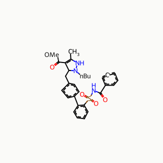 CCCCN1NC(C)=C(C(=O)OC)C1Cc1ccc(-c2ccccc2S(=O)(=O)NC(=O)c2ccccc2)cc1